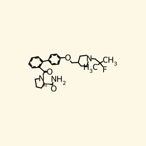 CC(C)(F)CN1CCC(COc2ccc(-c3ccccc3C(=O)N3CCC[C@@H]3C(N)=O)cc2)CC1